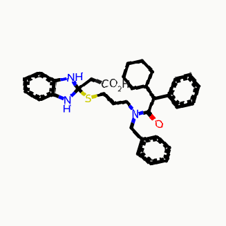 O=C(O)CC1(SCCCN(Cc2ccccc2)C(=O)C(c2ccccc2)C2CCCCC2)Nc2ccccc2N1